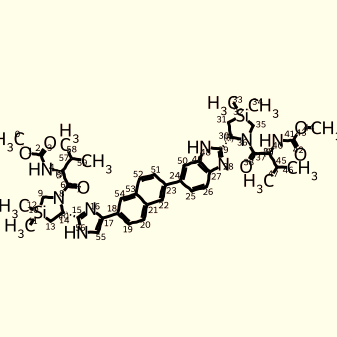 COC(=O)N[C@H](C(=O)N1C[Si](C)(C)C[C@H]1c1nc(-c2ccc3cc(-c4ccc5nc([C@@H]6C[Si](C)(C)CN6C(=O)[C@@H](NC(=O)OC)C(C)C)[nH]c5c4)ccc3c2)c[nH]1)C(C)C